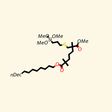 CCCCCCCCCCCCCCCCCCOC(=O)C(C)(C)CCCC(C)(CSCCC[Si](OC)(OC)OC)C(=O)OC